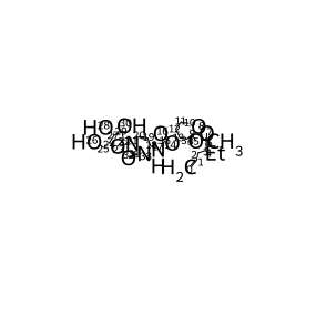 C=CCC(CC)[C@@]1(C)OO[C@@]2(CCCC(OC(=O)Nc3ccn([C@@H]4O[C@H](CO)[C@@H](O)[C@@H]4O)c(=O)n3)C2)O1